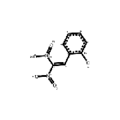 O=[N+]([O-])C(=Cc1ccccc1Cl)[N+](=O)[O-]